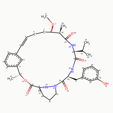 CO[C@@H]1CCC=Cc2cccc(c2)[C@@H](C)OC(=O)[C@@H]2CCCN(N2)C(=O)[C@H](Cc2cccc(O)c2)NC(=O)[C@H](C(C)C)NC(=O)[C@@H]1C